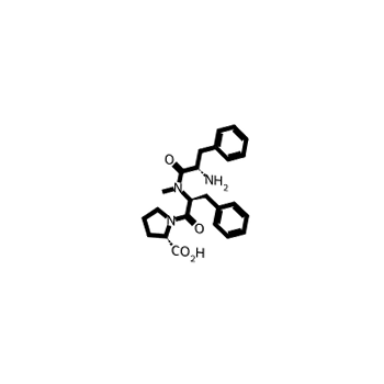 CN(C(=O)[C@@H](N)Cc1ccccc1)[C@@H](Cc1ccccc1)C(=O)N1CCC[C@H]1C(=O)O